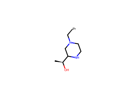 CC(C)CN1CCNC([C@H](C)O)C1